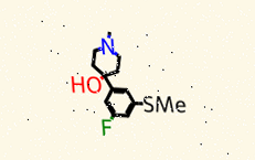 CSc1cc(F)cc(C2(O)CCN(C)CC2)c1